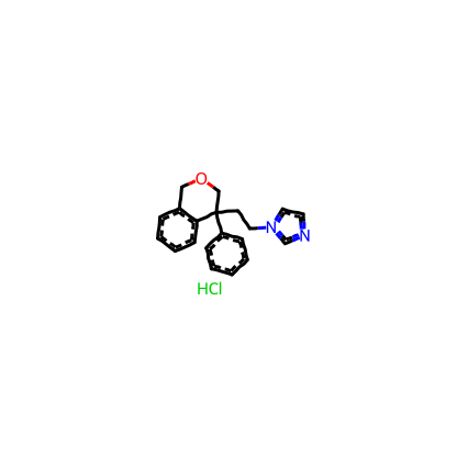 Cl.c1ccc(C2(CCn3ccnc3)COCc3ccccc32)cc1